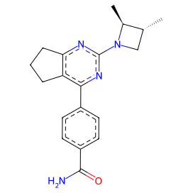 C[C@@H]1CN(c2nc3c(c(-c4ccc(C(N)=O)cc4)n2)CCC3)[C@H]1C